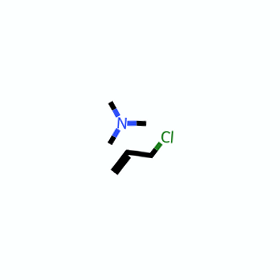 C=CCCl.CN(C)C